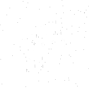 CC(C)(C)OC(=O)Nc1cc(N2C(=O)N(c3ccc(C#N)c(C(F)(F)F)c3)C(=O)C2(C)C)ccc1Cl